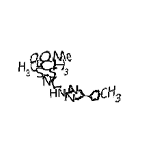 COC(=O)C(C)(C)Sc1nc(CCNc2ncc(-c3ccc(C)cc3)cn2)cs1